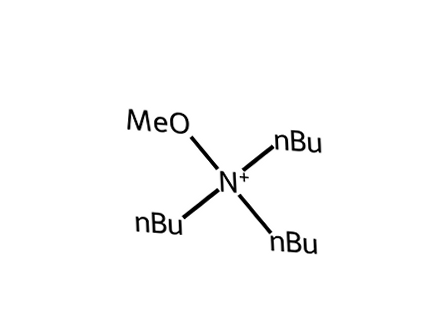 CCCC[N+](CCCC)(CCCC)OC